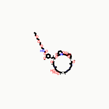 CCCOCCOCCOCCNC(=O)O[C@@H]1CC[C@@H](C[C@@H](C)[C@@H]2CC(=O)[C@H](C)/C=C(\C)[C@@H](O)[C@@H](O)C(=O)[C@H](C)C[C@H](C)/C=C/C=C/C=C(\C)[C@@H](OC)C[C@@H]3CC[C@@H](C)[C@@](O)(O3)C(=O)C(=O)N3CCCC[C@H]3C(=O)O2)C[C@H]1OC